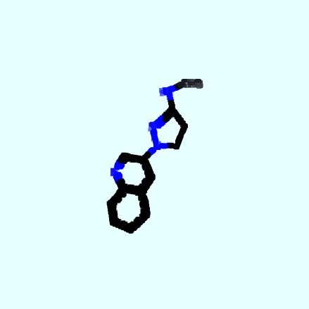 O=CNC1=NN(c2cnc3ccccc3c2)CC1